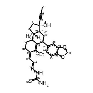 CC#C[C@]1(O)CC[C@H]2[C@@H]3CC/C(=C/C=NNC(N)=S)C(CC)=C3C(c3ccc4c(c3)OCO4)C[C@@]21C